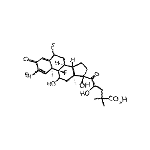 CC(C)(CC(O)C(=O)[C@@]1(O)CC[C@H]2[C@@H]3CC(F)C4=CC(=O)C(Br)=C[C@]4(C)[C@@]3(F)C(O)C[C@@]21C)C(=O)O